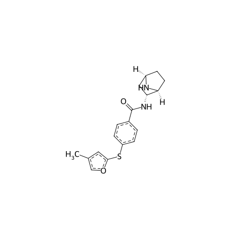 Cc1coc(Sc2ccc(C(=O)N[C@@H]3C[C@H]4CC[C@@H]3N4)cc2)c1